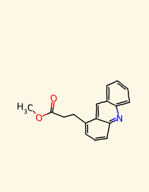 COC(=O)CCc1cccc2nc3ccccc3cc12